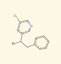 CC(=O)C(Cc1ccccc1)c1cncc(Cl)c1